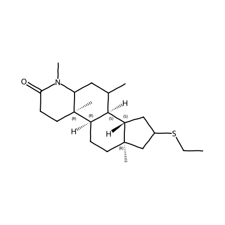 CCSC1C[C@H]2[C@@H]3C(C)CC4N(C)C(=O)CC[C@]4(C)[C@@H]3CC[C@]2(C)C1